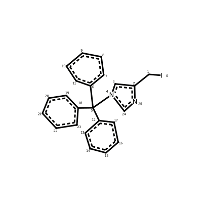 ICc1cn(C(c2ccccc2)(c2ccccc2)c2ccccc2)cn1